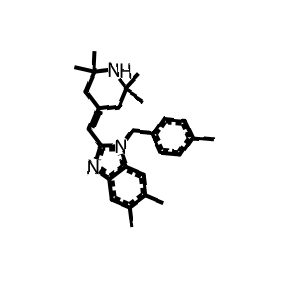 Cc1ccc(Cn2c(C=C3CC(C)(C)NC(C)(C)C3)nc3cc(C)c(C)cc32)cc1